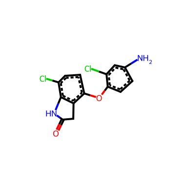 Nc1ccc(Oc2ccc(Cl)c3c2CC(=O)N3)c(Cl)c1